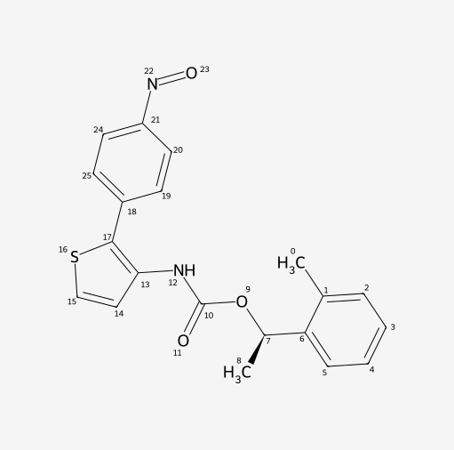 Cc1ccccc1[C@@H](C)OC(=O)Nc1ccsc1-c1ccc(N=O)cc1